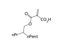 C=C(C(=O)O)C(=O)OCC(CCC)CCCCC